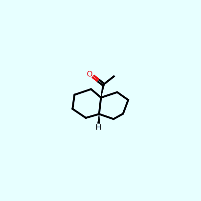 CC(=O)[C@]12CCCC[C@H]1CCCC2